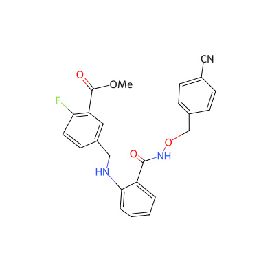 COC(=O)c1cc(CNc2ccccc2C(=O)NOCc2ccc(C#N)cc2)ccc1F